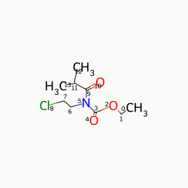 CCOC(=O)N(CCCl)C(=O)C(C)C